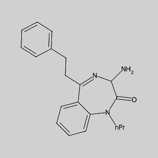 CCCN1C(=O)C(N)N=C(CCc2ccccc2)c2ccccc21